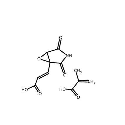 C=C(C)C(=O)O.O=C(O)C=CC12OC1C(=O)NC2=O